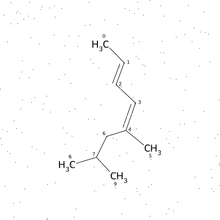 CC=CC=C(C)CC(C)C